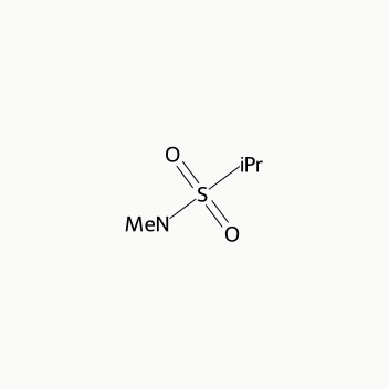 [CH2]C(C)S(=O)(=O)NC